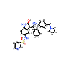 O=C1Nc2ccc(NS(=O)(=O)c3cccnc3)cc2/C1=C(/Nc1ccc(CN2CCCC2)cc1)c1ccccc1